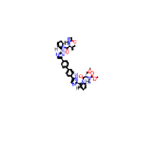 COC[C@H](NC(=O)OC)C(=O)N1[C@@H]2CC[C@@H](C2)[C@H]1c1ncc(-c2ccc(-c3ccc(-c4cnc([C@@H]5[C@H]6CC[C@H](C6)N5C(=O)[C@@H](NC(C)=O)C(C)C)[nH]4)cc3)cc2)[nH]1